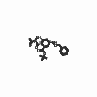 CC(=O)N(N)C(=O)[C@@H]1CC[C@@H](NOCc2ccccc2)CN1C(=O)OC(C)(C)C